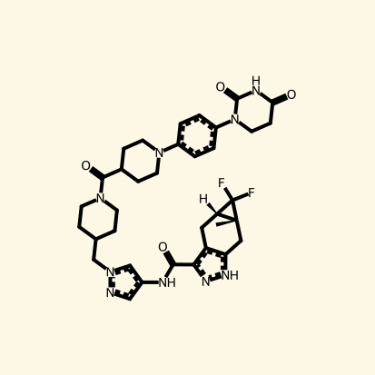 C[C@@]12Cc3[nH]nc(C(=O)Nc4cnn(CC5CCN(C(=O)C6CCN(c7ccc(N8CCC(=O)NC8=O)cc7)CC6)CC5)c4)c3C[C@@H]1C2(F)F